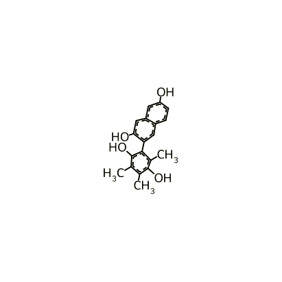 Cc1c(C)c(O)c(-c2cc3ccc(O)cc3cc2O)c(C)c1O